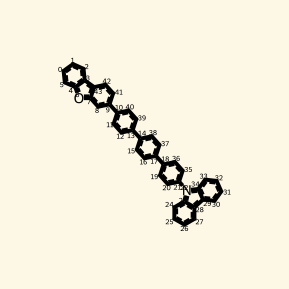 c1ccc2c(c1)oc1cc(-c3ccc(-c4ccc(-c5ccc(-n6c7ccccc7c7ccccc76)cc5)cc4)cc3)ccc12